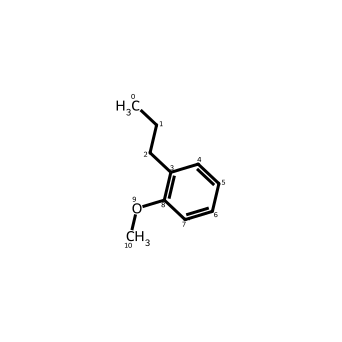 CCCc1ccc[c]c1OC